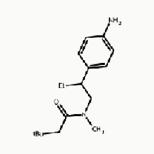 CCC(CN(C)C(=O)CC(C)(C)C)c1ccc(N)cc1